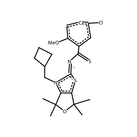 COc1ccc(Cl)cc1C(=S)/N=c1\sc2c(n1CC1CCC1)C(C)(C)OC2(C)C